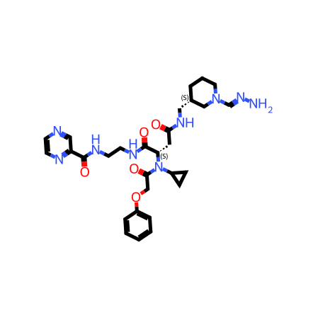 NN=CN1CCC[C@@H](CNC(=O)C[C@@H](C(=O)NCCNC(=O)c2cnccn2)N(C(=O)COc2ccccc2)C2CC2)C1